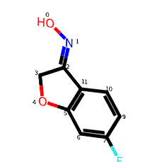 ON=C1COc2cc(F)ccc21